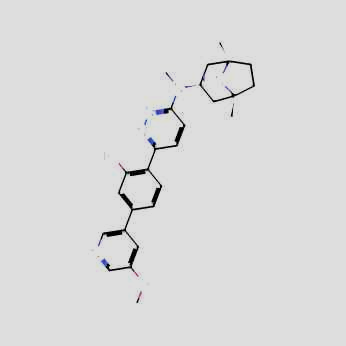 COc1cncc(-c2ccc(-c3ccc(N(C)[C@H]4C[C@]5(C)CC[C@](C)(C4)N5)nn3)c(O)c2)c1